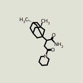 C[C@]12CC3CC(C(CC(=O)N4CCCCC4)C(N)=O)(C1)C[C@@](C)(C3)C2